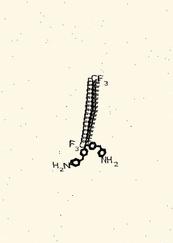 Nc1ccc(Cc2ccc(C(c3ccc(Cc4ccc(N)cc4)cc3)(C(F)(F)F)C(F)(F)C(F)(F)C(F)(F)C(F)(F)C(F)(F)C(F)(F)C(F)(F)C(F)(F)C(F)(F)C(F)(F)C(F)(F)C(F)(F)C(F)(F)C(F)(F)C(F)(F)C(F)(F)C(F)(F)F)cc2)cc1